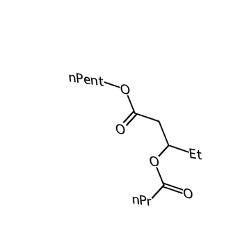 CCCCCOC(=O)CC(CC)OC(=O)CCC